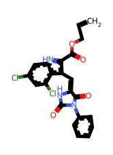 C=CCOC(=O)c1[nH]c2cc(Cl)cc(Cl)c2c1C=C1NC(=O)N(c2ccccc2)C1=O